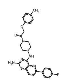 Cc1ccc(OCC(=O)N2CCC(Nc3nc(N)nc4ccc(-c5ccc(F)cc5)nc34)CC2)cc1